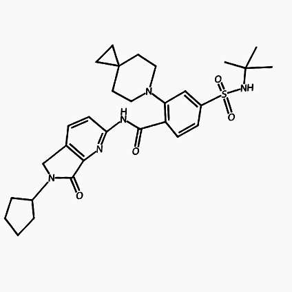 CC(C)(C)NS(=O)(=O)c1ccc(C(=O)Nc2ccc3c(n2)C(=O)N(C2CCCC2)C3)c(N2CCC3(CC2)CC3)c1